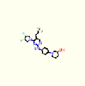 OC1CCCN(c2ccc(Nc3ncc(CCC(F)(F)F)c(N4C[C@H](F)[C@@H](F)C4)n3)cc2)C1